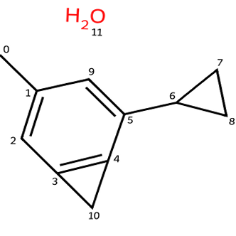 Cc1cc2c(c(C3CC3)c1)C2.O